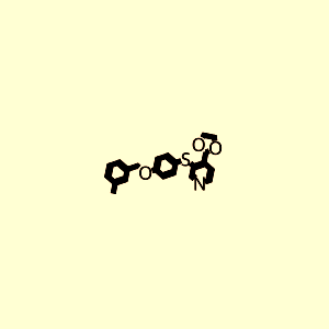 Cc1cccc(COc2ccc(Sc3cnccc3C3OCCO3)cc2)c1